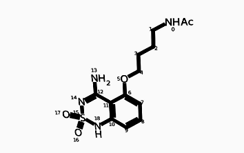 CC(=O)NCCCCOc1cccc2c1C(N)=NS(=O)(=O)N2